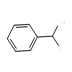 FC(S)c1ccccc1